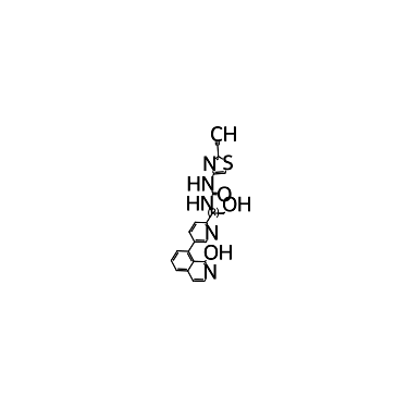 C#Cc1nc(NC(=O)N[C@@H](CO)c2ccc(-c3cccc4ccnc(O)c34)cn2)cs1